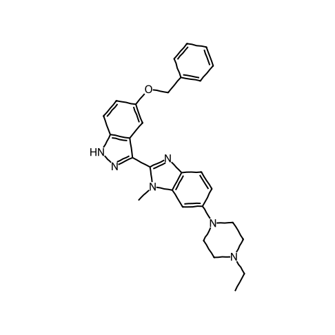 CCN1CCN(c2ccc3nc(-c4n[nH]c5ccc(OCc6ccccc6)cc45)n(C)c3c2)CC1